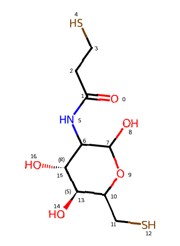 O=C(CCS)NC1C(O)OC(CS)[C@@H](O)[C@@H]1O